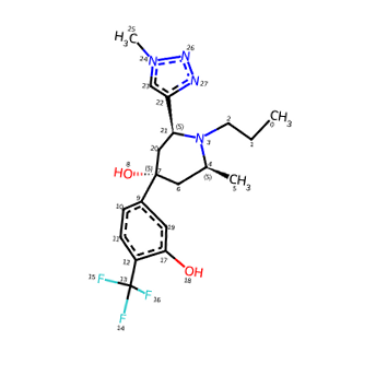 CCCN1[C@@H](C)C[C@@](O)(c2ccc(C(F)(F)F)c(O)c2)C[C@H]1c1cn(C)nn1